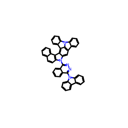 c1ccc2c(c1)ccc1c2c2c3c4ccccc4n4c5ccccc5c(cc2n1-c1nnc(-n2c5ccccc5c5ccccc52)c2ccccc12)c34